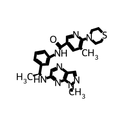 Cc1cc(C(=O)Nc2cccc([C@H](C)Nc3cnc4cnn(C)c4n3)c2)cnc1N1CCSCC1